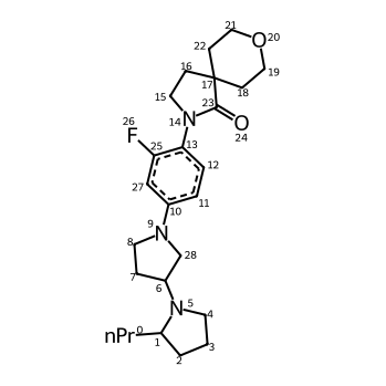 CCCC1CCCN1C1CCN(c2ccc(N3CCC4(CCOCC4)C3=O)c(F)c2)C1